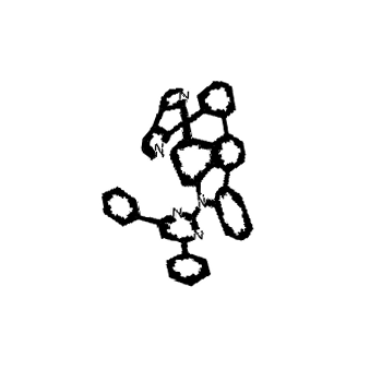 c1ccc(-c2cc(-c3ccccc3)nc(N3c4ccccc4-c4ccc5c6c(ccc3c46)C3(c4ccccc4-5)c4ncccc4-c4cccnc43)n2)cc1